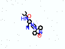 CCC(CC)C(=O)Nc1ccc(N2CCN(C3c4ccccc4C(=O)N(C)c4ccccc43)CC2)c(C#N)c1